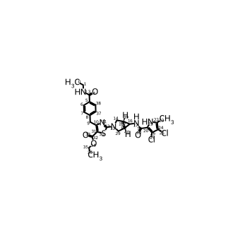 CCNC(=O)c1ccc(Cc2nc(N3C[C@@H]4C(NC(=O)c5[nH]c(C)c(Cl)c5Cl)[C@@H]4C3)sc2C(=O)OCC)cc1